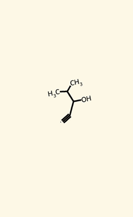 [C]#CC(O)C(C)C